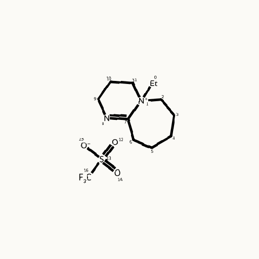 CC[N+]12CCCCCC1=NCCC2.O=S(=O)([O-])C(F)(F)F